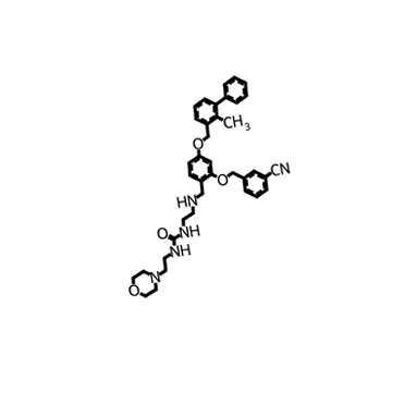 Cc1c(COc2ccc(CNCCNC(=O)NCCN3CCOCC3)c(OCc3cccc(C#N)c3)c2)cccc1-c1ccccc1